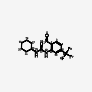 O=Nc1ccc(C(F)(F)F)cc1NC(=O)NC1CCCCC1